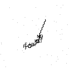 CCCCCCCCCCCc1nc(-c2ccc(CNCc3ccc(C(F)(F)F)cc3)cc2)no1.Cl